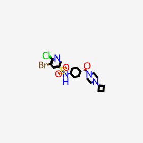 O=C([C@H]1CC[C@H](NS(=O)(=O)c2cnc(Cl)c(Br)c2)CC1)N1CCN(C2CCC2)CC1